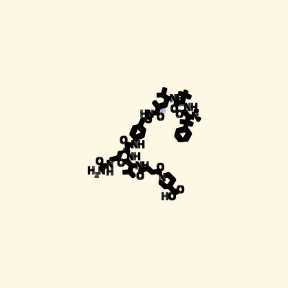 C/C(=C\C(NC(=O)[C@@H](NC(=O)C(N(C)C)C(C)(C)c1ccccc1)C(C)(C)C)C(C)C)C(=O)NOCc1ccc(NC(=O)[C@H](CCCNC(N)=O)NC(=O)C(NC(=O)CCC(=O)N2CCC(C(=O)O)CC2)C(C)C)cc1